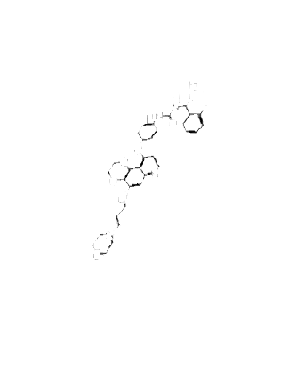 CC(NC(=O)NC1=CCC(Oc2ccnc3cc(OCCCN4CCOCC4)c4c(c23)OCCO4)C=C1)c1ccccc1F